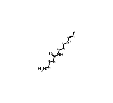 CC=CSCCCNC(=O)CCCN